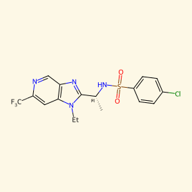 CCn1c([C@@H](C)NS(=O)(=O)c2ccc(Cl)cc2)nc2cnc(C(F)(F)F)cc21